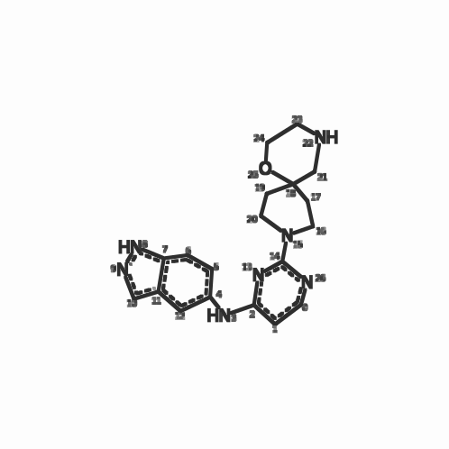 c1cc(Nc2ccc3[nH]ncc3c2)nc(N2CCC3(CC2)CNCCO3)n1